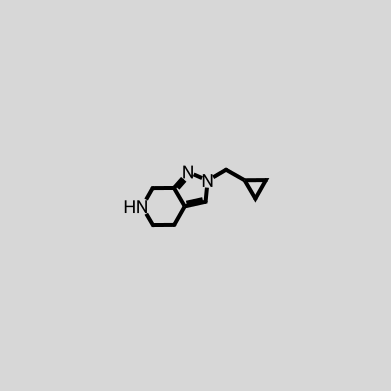 c1c2c(nn1CC1CC1)CNCC2